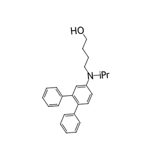 CC(C)N(CCCCO)c1ccc(-c2ccccc2)c(-c2ccccc2)c1